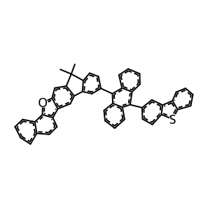 CC1(C)c2ccc(-c3c4ccccc4c(-c4ccc5sc6ccccc6c5c4)c4ccccc34)cc2-c2cc3c(cc21)oc1c2ccccc2ccc31